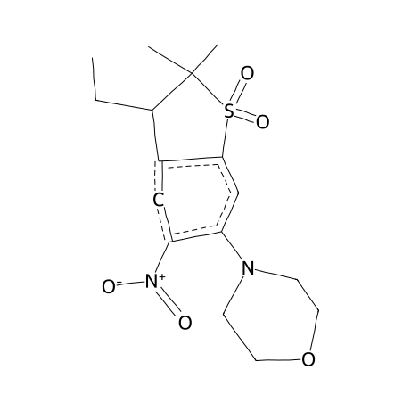 CCC1c2cc([N+](=O)[O-])c(N3CCOCC3)cc2S(=O)(=O)C1(C)C